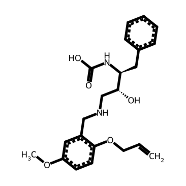 C=CCOc1ccc(OC)cc1CNC[C@@H](O)[C@H](Cc1ccccc1)NC(=O)O